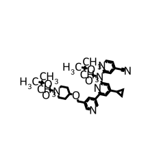 CC(C)(C)OC(=O)N1CCC(OCc2cncc(-c3cc(C4CC4)cc(N(C(=O)OC(C)(C)C)c4cc(C#N)ccn4)n3)c2)CC1